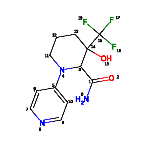 NC(=O)C1N(c2[c]cncc2)CCCC1(O)C(F)(F)F